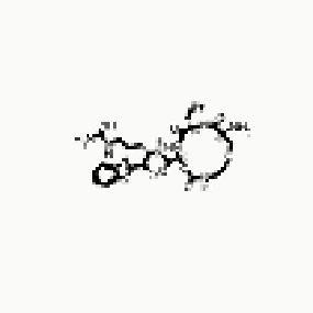 CC(C)C[C@@H]1NC(=O)[C@@H](N)CCCCNC(=O)C[C@@H](C(=O)N[C@@H](CCCNC(=N)N)C(=O)c2nc3ccccc3s2)NC1=O